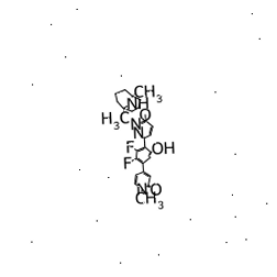 Cn1ccc(-c2cc(O)c(-c3ccc(O[C@@H]4C[C@]5(C)CCC[C@](C)(C4)N5)nn3)c(F)c2F)cc1=O